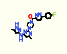 Cc1cc(Nc2cc(C)[nH]n2)nc(N2CCN(C(=O)c3ccc(-c4ccc(F)cc4)nn3)CC2)n1